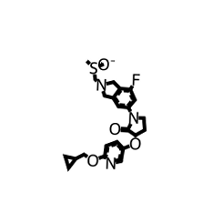 C[S+]([O-])CN1Cc2cc(N3CC[C@@H](Oc4ccc(OCC5CC5)nc4)C3=O)cc(F)c2C1